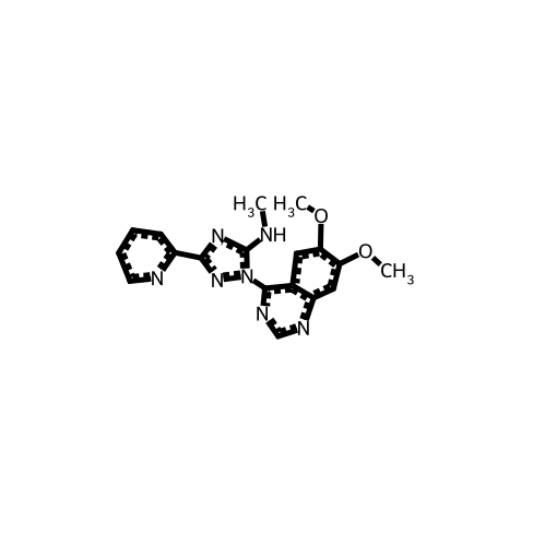 CNc1nc(-c2ccccn2)nn1-c1ncnc2cc(OC)c(OC)cc12